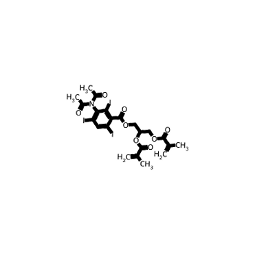 C=C(C)C(=O)OCC(COC(=O)c1c(I)cc(I)c(N(C(C)=O)C(C)=O)c1I)OC(=O)C(=C)C